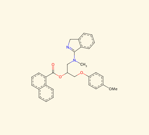 COc1ccc(OCC(CN(C)C2=NCc3ccccc32)OC(=O)c2cccc3ccccc23)cc1